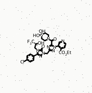 CCOC(=O)c1ccncc1-n1nc(Cn2nc(-c3ccc(Cl)cc3)n(C[C@H](O)C(F)(F)F)c2=O)nc1C(=O)N1CCS(O)(O)CC1